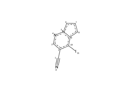 N#Cc1cnn2cccc2c1I